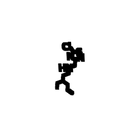 C=CCC(CC)CCNCc1nsc(Cl)n1